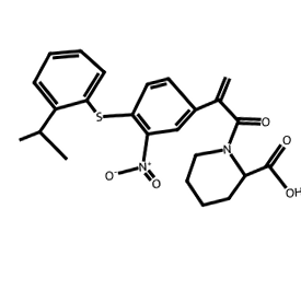 C=C(C(=O)N1CCCCC1C(=O)O)c1ccc(Sc2ccccc2C(C)C)c([N+](=O)[O-])c1